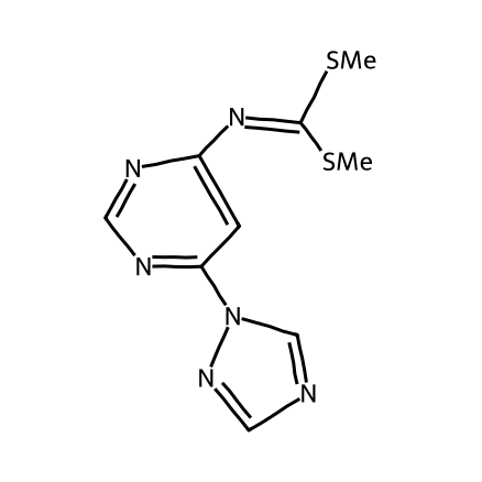 CSC(=Nc1cc(-n2cncn2)ncn1)SC